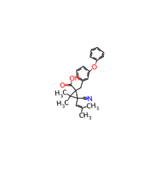 CC(C)=CC1(C#N)C(C)(C)C1(Cc1cccc(Oc2ccccc2)c1)C(=O)O